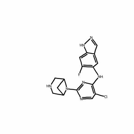 Fc1cc2[nH]ncc2cc1Nc1nc(N2C3CNCC2C3)ncc1Cl